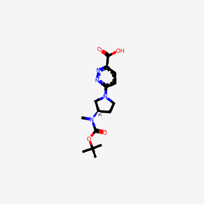 CN(C(=O)OC(C)(C)C)[C@@H]1CCN(c2ccc(C(=O)O)nn2)C1